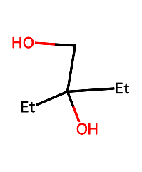 CCC(O)(CC)CO